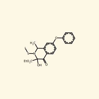 CCOC(=O)C1(O)C(=O)c2ccc(Oc3ccccc3)cc2C(C)N1SI